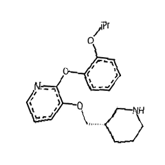 CC(C)Oc1ccccc1Oc1ncccc1OC[C@H]1CCCNC1